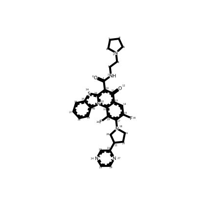 O=C(NCCN1CCCC1)c1c(=O)c2cc(F)c(N3CCC(c4cnccn4)C3)c(F)c2n2c1sc1ccccc12